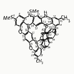 CSc1cc2c3c(c1)N(SC)c1cc4c(cc1B3c1cc3c(cc1O2)Oc1cc(C)cc2c1B3c1sc3ccccc3c1O2)B1c2sc3ccccc3c2Oc2cc(C)cc(c21)N4